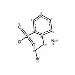 O=S(=O)([O-])c1ccccc1CCBr.[Na+]